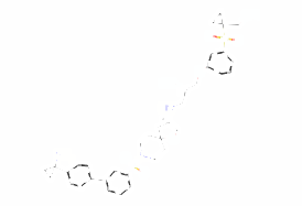 NC1(c2ccc(-c3cccc(S(=O)(=O)N4CCC5(CC4)C[C@@H](NC[C@H](O)COc4cccc(S(=O)(=O)C6(CO)CC6)c4)CO5)c3)cc2)CC1